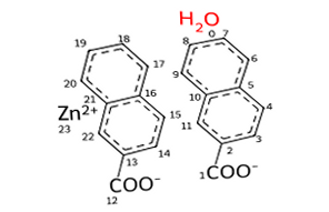 O.O=C([O-])c1ccc2ccccc2c1.O=C([O-])c1ccc2ccccc2c1.[Zn+2]